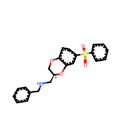 O=S(=O)(c1ccccc1)c1ccc2c(c1)O[C@@H](CNCc1ccccc1)CO2